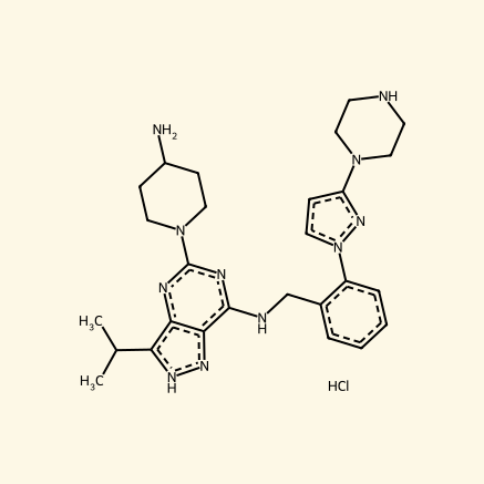 CC(C)c1[nH]nc2c(NCc3ccccc3-n3ccc(N4CCNCC4)n3)nc(N3CCC(N)CC3)nc12.Cl